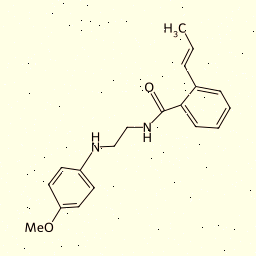 CC=Cc1ccccc1C(=O)NCCNc1ccc(OC)cc1